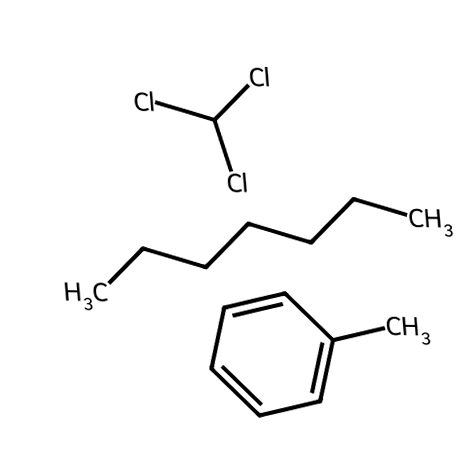 CCCCCCC.Cc1ccccc1.ClC(Cl)Cl